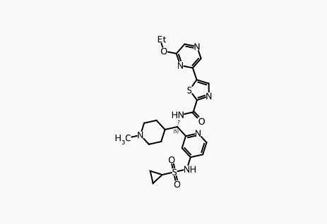 CCOc1cncc(-c2cnc(C(=O)N[C@H](c3cc(NS(=O)(=O)C4CC4)ccn3)C3CCN(C)CC3)s2)n1